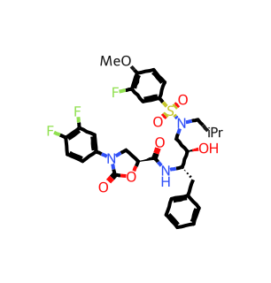 COc1ccc(S(=O)(=O)N(CC(C)C)C[C@@H](O)[C@H](Cc2ccccc2)NC(=O)[C@@H]2CN(c3ccc(F)c(F)c3)C(=O)O2)cc1F